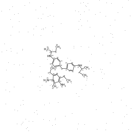 CCC(C)Nc1ccc(Cc2ccc(NC(C)CC)cc2)cc1.CCc1cc(CC)c(N)c(C)c1N